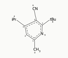 Cc1cc(C(C)C)c(C#N)c(C(C)(C)C)n1